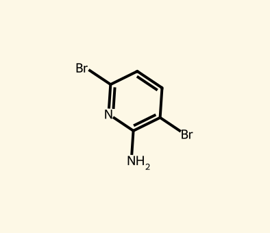 Nc1nc(Br)ccc1Br